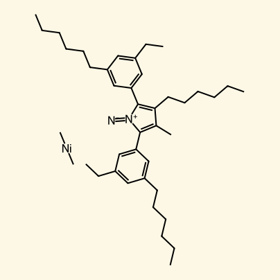 CCCCCCC1=C(c2cc(CC)cc(CCCCCC)c2)[N+](=[N-])C(c2cc(CC)cc(CCCCCC)c2)=C1C.[CH3][Ni][CH3]